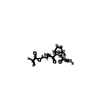 C=C(C)C(=O)OCCNC(=O)C1C2C=CC(C)(C2)C1C(N)=O